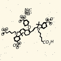 CC1(C)C(/C=C/C2=C(Oc3ccc(S(=O)(=O)[O-])cc3)C(=C/C=C3/N(CCCCS(=O)(=O)[O-])c4ccc(S(=O)(=O)[O-])cc4C3(C)C)/CCC2)=[N+](CCCCCC(=O)O)c2ccc(S(=O)(=O)[O-])cc21.[Na+].[Na+].[Na+]